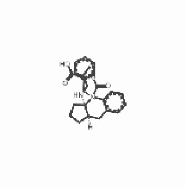 CC(CN[C@@]12CCC[C@@H]1Cc1ccccc1[N@@+]2(Cc1ccccc1)C(=O)O)C(=O)O